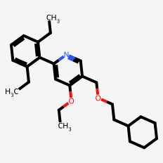 CCOc1cc(-c2c(CC)cccc2CC)ncc1COCCC1CCCCC1